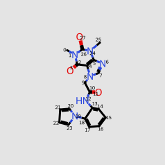 Cn1c(=O)c2c(ncn2CC(=O)Nc2ccccc2-n2cccc2)n(C)c1=O